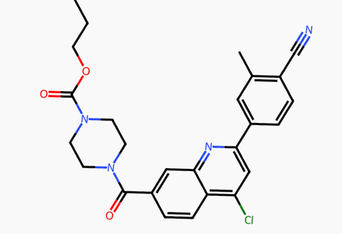 CCCOC(=O)N1CCN(C(=O)c2ccc3c(Cl)cc(-c4ccc(C#N)c(C)c4)nc3c2)CC1